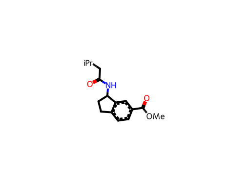 COC(=O)c1ccc2c(c1)C(NC(=O)CC(C)C)CC2